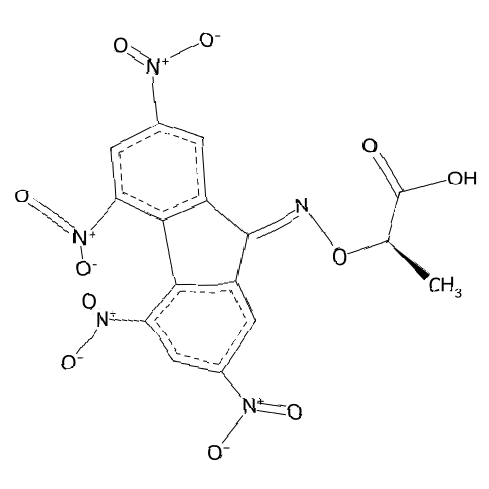 C[C@@H](ON=C1c2cc([N+](=O)[O-])cc([N+](=O)[O-])c2-c2c1cc([N+](=O)[O-])cc2[N+](=O)[O-])C(=O)O